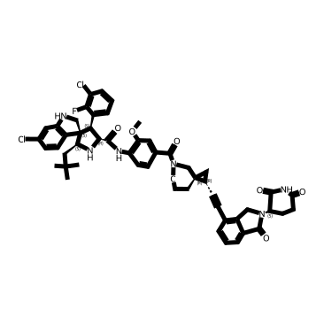 COc1cc(C(=O)N2CCC[C@]3(C[C@@H]3C#Cc3cccc4c3CN([C@H]3CCC(=O)NC3=O)C4=O)C2)ccc1NC(=O)[C@@H]1N[C@@H](CC(C)(C)C)[C@@]2(CNc3cc(Cl)ccc32)[C@H]1c1cccc(Cl)c1F